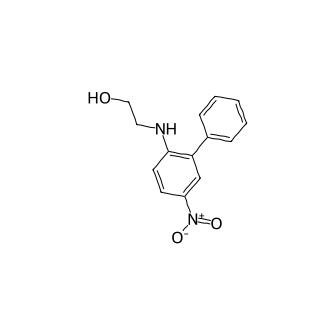 O=[N+]([O-])c1ccc(NCCO)c(-c2ccccc2)c1